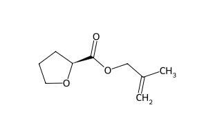 C=C(C)COC(=O)[C@@H]1CCCO1